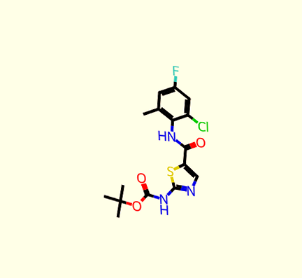 Cc1cc(F)cc(Cl)c1NC(=O)c1cnc(NC(=O)OC(C)(C)C)s1